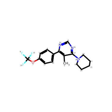 Cc1c(-c2ccc(OC(F)(F)F)cc2)ncnc1N1CCCCC1